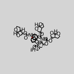 CC(C)CN(C[C@@H](OC(=O)O[C@H]1CO[C@H]2OCCC21)[C@H](Cc1ccccc1)NC(=O)O[C@H]1CO[C@H]2OCCC21)S(=O)(=O)c1ccc(NC(=O)O[C@@H]2CO[C@@H]3OCC[C@@H]32)cc1